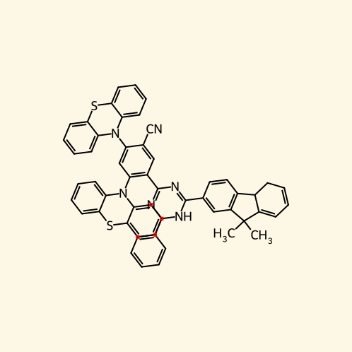 CC1(C)C2=CC=CCC2c2ccc(C3=NC(c4cc(C#N)c(N5c6ccccc6Sc6ccccc65)cc4N4c5ccccc5Sc5ccccc54)=NC(c4ccccc4)N3)cc21